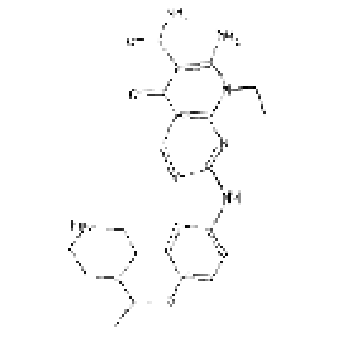 CCn1c(N)c(C(N)=O)c(=O)c2cnc(Nc3ccc(OC(C)C4CCNCC4)cc3)nc21